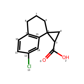 O=C(O)C1CC12CCCc1ccc(Cl)cc12